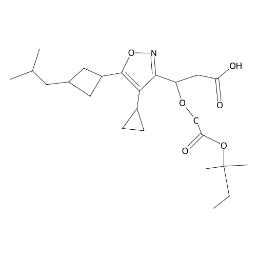 CCC(C)(C)OC(=O)COC(CC(=O)O)c1noc(C2CC(CC(C)C)C2)c1C1CC1